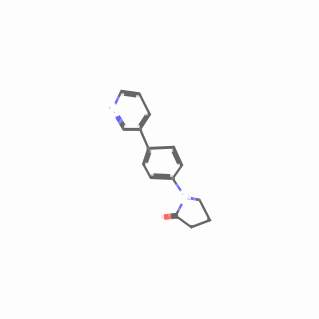 O=C1CCCN1c1ccc(-c2c[c]cnc2)cc1